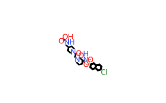 O=C(O)NCC1CCN(C(=O)CN2CCC[C@H](NS(=O)(=O)c3ccc4cc(Cl)ccc4c3)C2=O)CC1